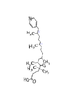 C/C(=C\c1ccncc1)CC/C=C(\C)CCCC(C)CC(C)C(=O)C(C)(C)CCC(=O)O